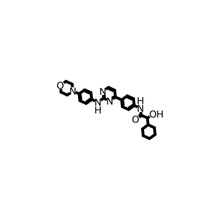 O=C(Nc1ccc(-c2ccnc(Nc3ccc(N4CCOCC4)cc3)n2)cc1)C(O)C1CCCCC1